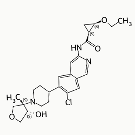 CCO[C@@H]1C[C@@H]1C(=O)Nc1cc2cc(C3CCN([C@@]4(C)COC[C@H]4O)CC3)c(Cl)cc2cn1